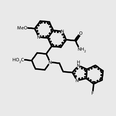 COc1ccc2nc(C(N)=O)cc(C3CC(C(=O)O)CCN3CCc3nc4c(F)cccc4[nH]3)c2n1